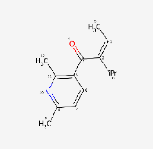 C/C=C(\C(=O)c1ccc(C)nc1C)C(C)C